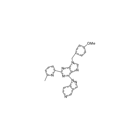 COc1ccc(Cn2cnc3c(-n4ncc5cnccc54)nc(-c4cccc(C)n4)nc32)cc1